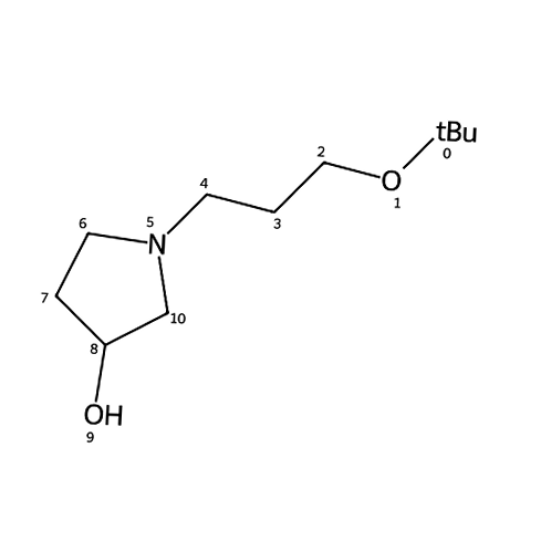 CC(C)(C)OCCCN1CCC(O)C1